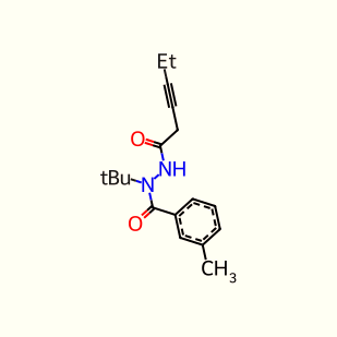 CCC#CCC(=O)NN(C(=O)c1cccc(C)c1)C(C)(C)C